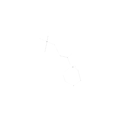 CC(CCC(F)(F)F)[SiH]1CCCCO1